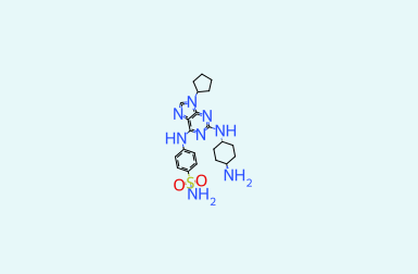 NS(=O)(=O)c1ccc(Nc2nc(N[C@H]3CC[C@H](N)CC3)nc3c2ncn3C2CCCC2)cc1